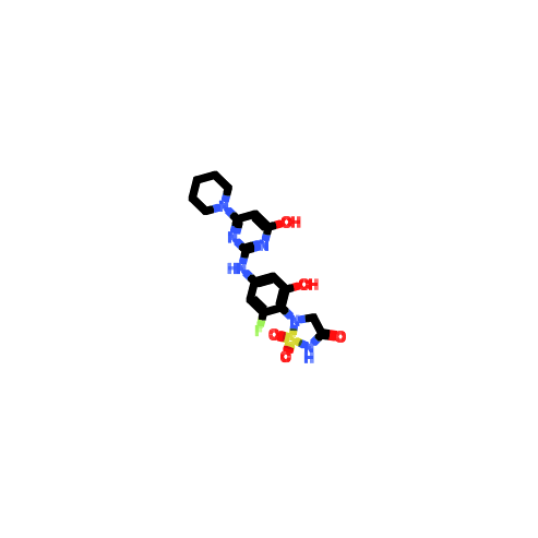 O=C1CN(c2c(O)cc(Nc3nc(O)cc(N4CCCCC4)n3)cc2F)S(=O)(=O)N1